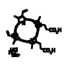 C=CC1=C(C)c2cc3[nH]c(cc4nc(cc5[nH]c(cc1n2)c(C)c5CCC(=O)O)C(CCC(=O)O)=C4C)c(C)c3C=C.Cl.Cl.[Mn]